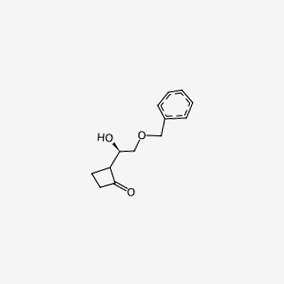 O=C1CCC1[C@@H](O)COCc1ccccc1